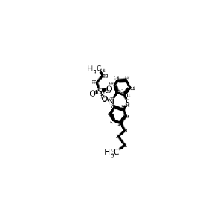 CCCCc1ccc2c(c1)Sc1ccccc1N2OS(=O)(=O)CCC